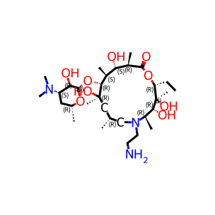 CC[C@H]1OC(=O)[C@H](C)[C@@H](O)[C@H](C)[C@@H](O[C@@H]2O[C@H](C)C[C@H](N(C)C)[C@H]2O)[C@](C)(O)C[C@@H](C)CN(CCN)[C@H](C)[C@@H](O)[C@]1(C)O